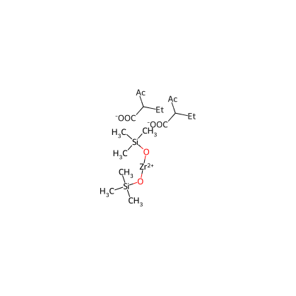 CCC(C(C)=O)C(=O)[O-].CCC(C(C)=O)C(=O)[O-].C[Si](C)(C)[O][Zr+2][O][Si](C)(C)C